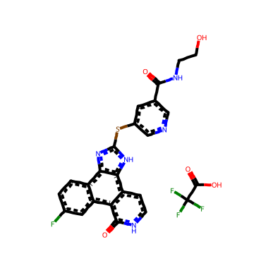 O=C(NCCO)c1cncc(Sc2nc3c4ccc(F)cc4c4c(=O)[nH]ccc4c3[nH]2)c1.O=C(O)C(F)(F)F